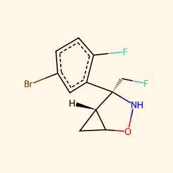 FC[C@]1(c2cc(Br)ccc2F)NOC2C[C@@H]21